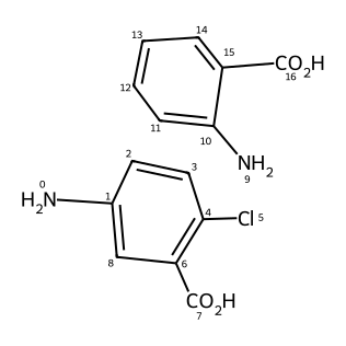 Nc1ccc(Cl)c(C(=O)O)c1.Nc1ccccc1C(=O)O